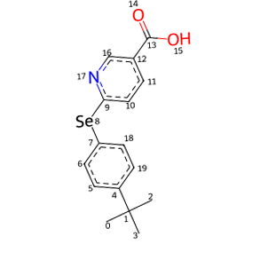 CC(C)(C)c1ccc([Se]c2ccc(C(=O)O)cn2)cc1